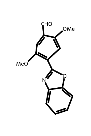 COc1cc(-c2nc3ccccc3o2)c(OC)cc1C=O